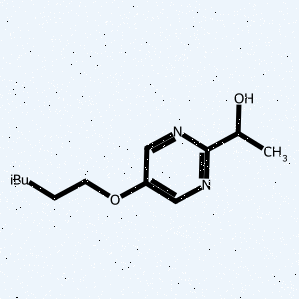 CCC(C)CCOc1cnc(C(C)O)nc1